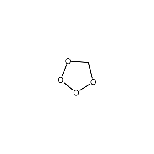 C1OOOO1